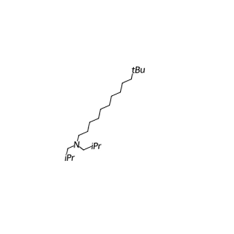 CC(C)CN(CCCCCCCCCCC(C)(C)C)CC(C)C